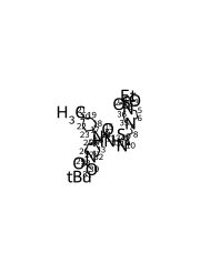 CCS(=O)(=O)N1CCN(Cc2cnc(NC(=O)N(C3CCC(C)CC3)C3CCN(C(=O)OC(C)(C)C)CC3)s2)CC1